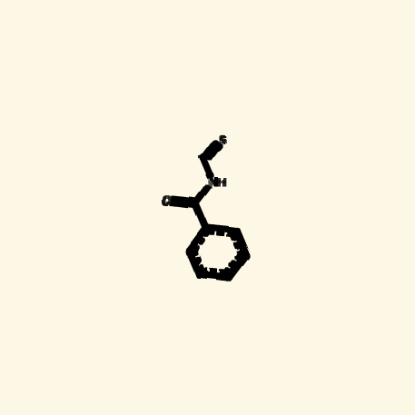 O=C(N[C]=S)c1ccccc1